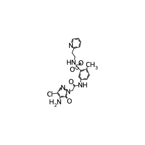 Cc1ccc(NC(=O)Cn2ncc(Cl)c(N)c2=O)cc1S(=O)(=O)NCCc1ccccn1